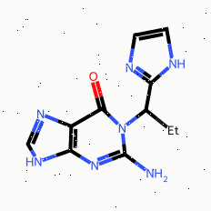 CCC(c1ncc[nH]1)n1c(N)nc2[nH]cnc2c1=O